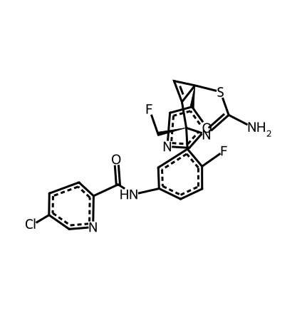 NC1=N[C@](CF)(c2cc(NC(=O)c3ccc(Cl)cn3)ccc2F)C2=C[C@]2(c2cnco2)S1